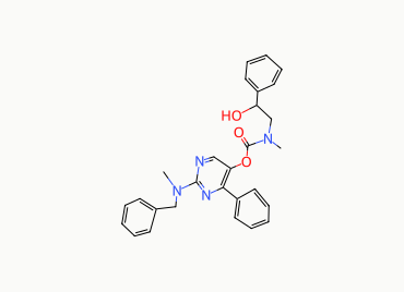 CN(CC(O)c1ccccc1)C(=O)Oc1cnc(N(C)Cc2ccccc2)nc1-c1ccccc1